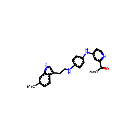 COC(=O)c1cc(Nc2ccc(NCCc3c[nH]c4cc(OC)ccc34)cc2)ccn1